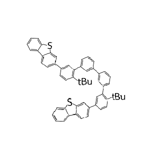 CC(C)(C)c1ccc(-c2ccc3c(c2)sc2ccccc23)cc1-c1cccc(-c2cccc(-c3cc(-c4ccc5c(c4)sc4ccccc45)ccc3C(C)(C)C)c2)c1